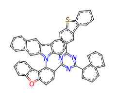 c1ccc2cc3c(cc2c1)c1ccccc1n3-c1c(-c2nc(-c3ccc4sc5ccccc5c4c3)nc(-c3cccc4ccccc34)n2)ccc2oc3ccccc3c12